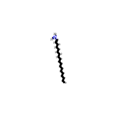 CCCCCCCCCCCCCCCCCC=CN(C)C